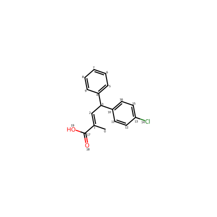 C/C(=C\C(c1ccccc1)c1ccc(Cl)cc1)C(=O)O